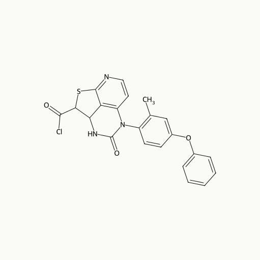 Cc1cc(Oc2ccccc2)ccc1N1C(=O)NC2c3c1ccnc3SC2C(=O)Cl